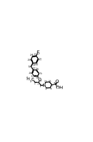 CCC(CN1CCC(C(=O)O)CC1)Oc1ccc(Cc2ccc(F)cc2)cc1